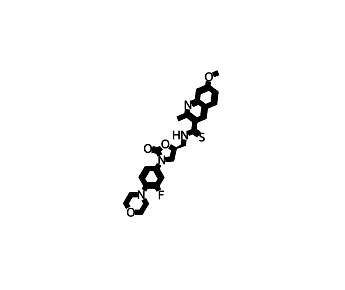 COc1ccc2cc(C(=S)NC[C@H]3CN(c4ccc(N5CCOCC5)c(F)c4)C(=O)O3)c(C)nc2c1